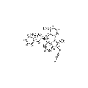 CC#CCn1c(CC)c(-c2cccc(Cl)c2C)c2c(N[C@H](Cc3ccccc3)C(=O)O)ncnc21